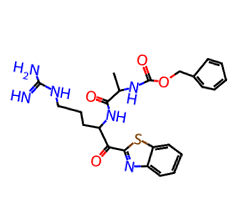 CC(NC(=O)OCc1ccccc1)C(=O)NC(CCCNC(=N)N)C(=O)c1nc2ccccc2s1